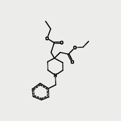 CCOC(=O)CC1(CC(=O)OCC)CCN(Cc2ccccc2)CC1